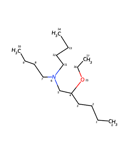 CCCCC(CN(CCCC)CCCC)OCC